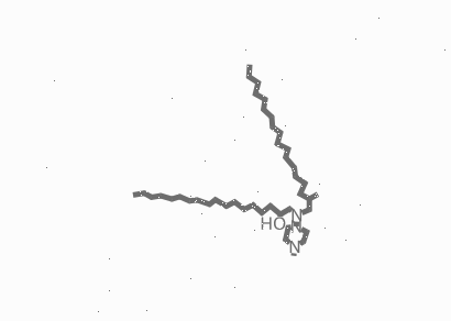 CCCCCCCCCCCCCCCCC(C)CN(CC(O)CCCCCCCCCCCCCCCC)N1CCN(C)CC1